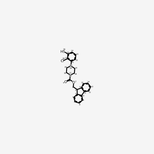 O=C(OCC1c2ccccc2-c2ccccc21)N1CCN(c2cccc(S)c2Cl)CC1